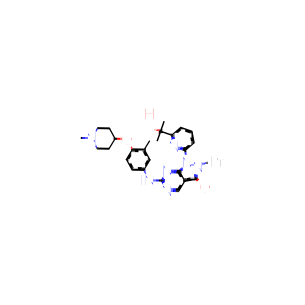 Cc1cc(Nc2ncc3c(=O)n(C(C)C)n(-c4cccc(C(C)(C)O)n4)c3n2)ccc1OC1CCN(C)CC1